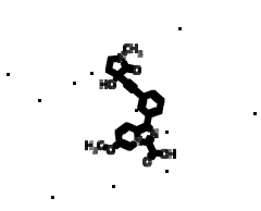 COc1ccc2c(-c3cccc(C#C[C@]4(O)CCN(C)C4=O)c3)nc(C(=O)O)n2c1